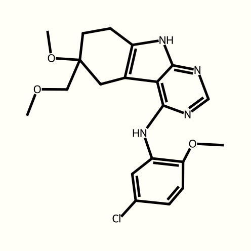 COCC1(OC)CCc2[nH]c3ncnc(Nc4cc(Cl)ccc4OC)c3c2C1